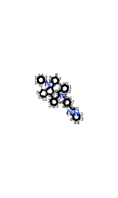 C1=CC2=c3c(c4ccccc4n3-c3ccccc3)=CC(c3ccccc3-c3cc4ccccc4n3-c3ccc(-c4cn5ccccc5n4)cc3)C2C=C1